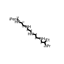 CCCC(CC)CNCCNCCNCCNC(C)CCC